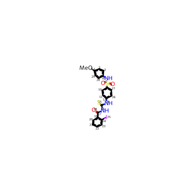 COc1ccc(NS(=O)(=O)c2ccc(NC(=S)NC(=O)c3ccccc3I)cc2)cc1